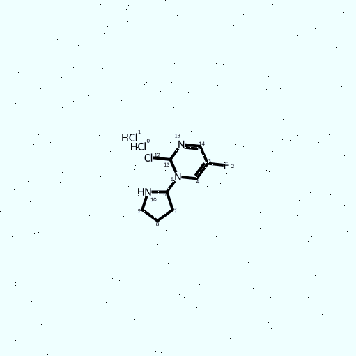 Cl.Cl.FC1=CN(C2CCCN2)C(Cl)N=C1